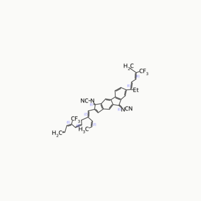 C=C/C=C(\C=C/CC(/C=C\C)=C/c1cc2cc3/c(=N/C#N)c4cc(/C(=C/C=C(\C=C)C(F)(F)F)CC)ccc4c3cc2/c1=N/C#N)C(F)(F)F